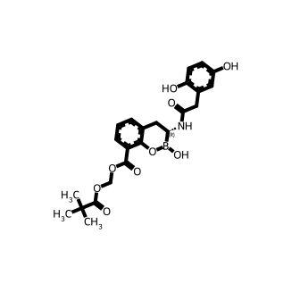 CC(C)(C)C(=O)OCOC(=O)c1cccc2c1OB(O)[C@@H](NC(=O)Cc1cc(O)ccc1O)C2